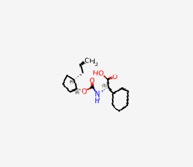 C=CC[C@H]1CCC[C@H]1OC(=O)N[C@H](C(=O)O)C1CCCCC1